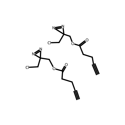 C#CCCC(=O)OCC1(CCl)N=N1.C#CCCC(=O)OCC1(CCl)N=N1